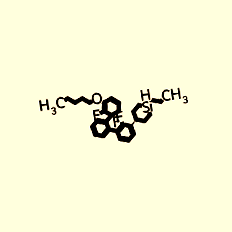 CCCCCOC1=C(F)C(F)(c2ccccc2-c2cccc([C@H]3CC[Si@H](CCC)CC3)c2F)CC=C1